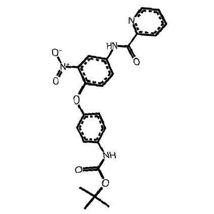 CC(C)(C)OC(=O)Nc1ccc(Oc2ccc(NC(=O)c3ccccn3)cc2[N+](=O)[O-])cc1